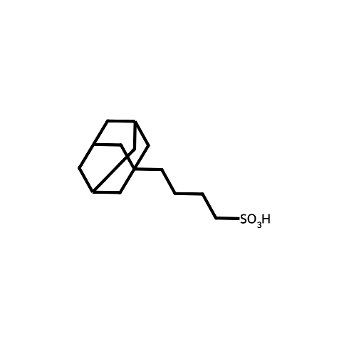 O=S(=O)(O)CCCCC12CC3CC(CC(C3)C1)C2